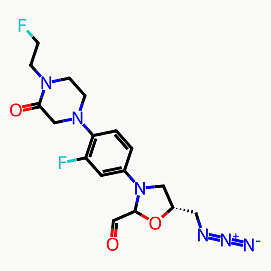 [N-]=[N+]=NC[C@H]1CN(c2ccc(N3CCN(CCF)C(=O)C3)c(F)c2)C(C=O)O1